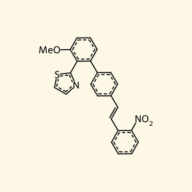 COc1cccc(-c2ccc(C=Cc3ccccc3[N+](=O)[O-])cc2)c1-c1nccs1